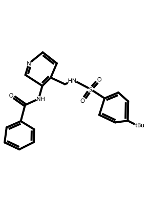 CC(C)(C)c1ccc(S(=O)(=O)NCc2ccncc2NC(=O)c2ccccc2)cc1